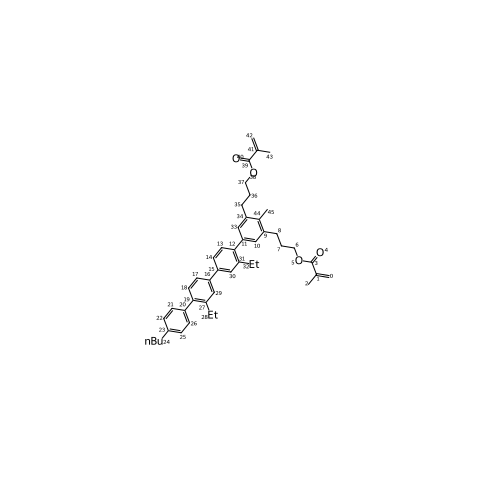 C=C(C)C(=O)OCCCc1cc(-c2ccc(-c3ccc(-c4ccc(CCCC)cc4)c(CC)c3)cc2CC)cc(CCCOC(=O)C(=C)C)c1C